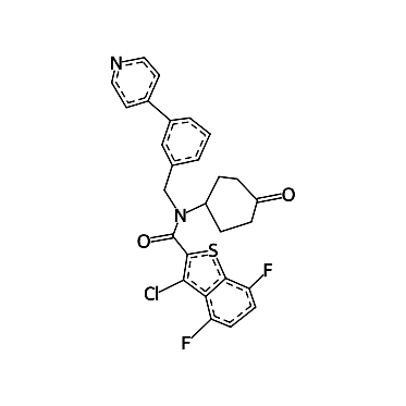 O=C1CCC(N(Cc2cccc(-c3ccncc3)c2)C(=O)c2sc3c(F)ccc(F)c3c2Cl)CC1